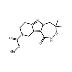 CC(C)(C)OC(=O)N1CCc2nn3c(c2C1)C(=O)NOC(C)(C)C3